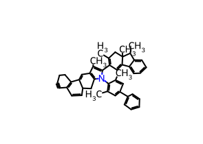 CC1=C(c2c(C)c3c(n2-c2c(C)cc(-c4ccccc4)cc2C)CC2C=CC4=C(CCC#C4)C2=C3)C=C2c3ccccc3C(C)C2(C)C1